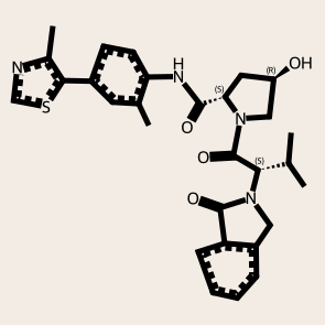 Cc1cc(-c2scnc2C)ccc1NC(=O)[C@@H]1C[C@@H](O)CN1C(=O)[C@H](C(C)C)N1Cc2ccccc2C1=O